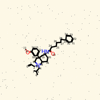 C=CC[N@@+]1(CC(C)C)CC[C@]2(c3cccc(OC)c3)C[C@@H](NC(=O)CCCCCc3ccccc3)CCC2C1